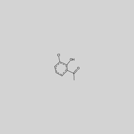 CC(=O)c1cccc(Cl)c1O